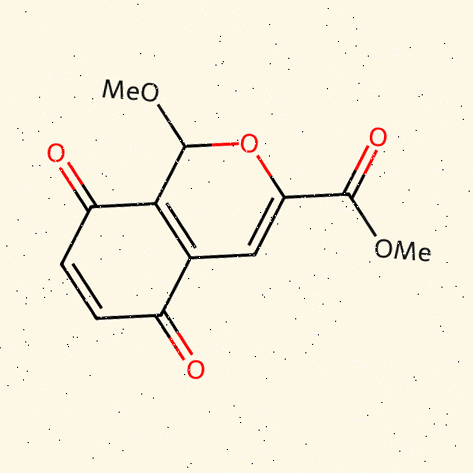 COC(=O)C1=CC2=C(C(=O)C=CC2=O)C(OC)O1